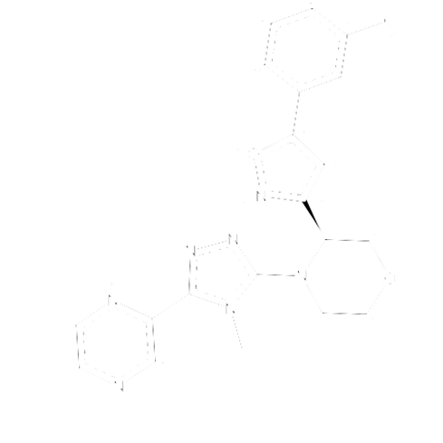 Cn1c(-c2cnccn2)nnc1N1CCOC[C@@H]1c1cc(-c2cccc(Cl)c2)on1